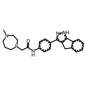 CN1CCCN(CC(=O)Nc2ccc(-c3n[nH]c4c3Cc3ccccc3-4)cc2)CC1